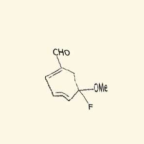 COC1(F)C=CC=C(C=O)C1